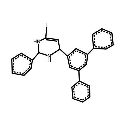 IC1=CC(c2cc(-c3ccccc3)cc(-c3ccccc3)c2)NC(c2ccccc2)N1